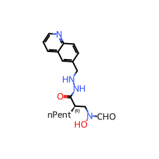 CCCCC[C@H](CN(O)C=O)C(=O)NNCc1ccc2ncccc2c1